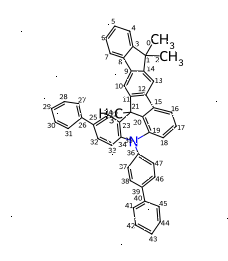 CC1(C)c2ccccc2-c2cc3c(cc21)-c1cccc2c1C3(C)c1cc(-c3ccccc3)ccc1N2c1ccc(-c2ccccc2)cc1